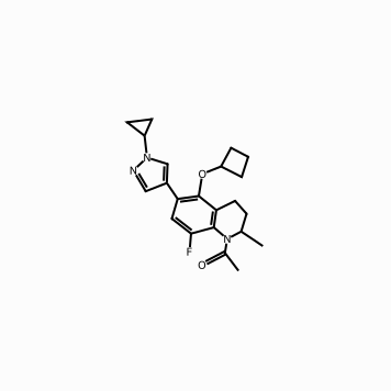 CC(=O)N1c2c(F)cc(-c3cnn(C4CC4)c3)c(OC3CCC3)c2CCC1C